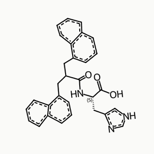 O=C(N[C@@H](Cc1c[nH]cn1)C(=O)O)C(Cc1cccc2ccccc12)Cc1cccc2ccccc12